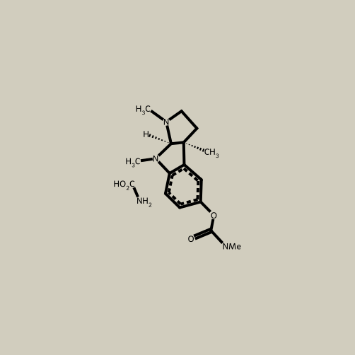 CNC(=O)Oc1ccc2c(c1)[C@]1(C)CCN(C)[C@@H]1N2C.NC(=O)O